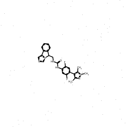 Cc1nn(C)c(C)c1-c1cc(F)c(NC(=O)NCC2c3ccccc3-c3cncn32)cc1F